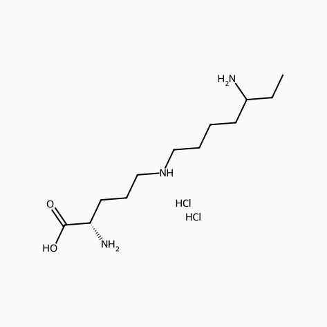 CCC(N)CCCCNCCC[C@H](N)C(=O)O.Cl.Cl